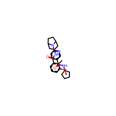 COc1cccc(C(=O)NC2CC3CCC(C2)N3c2ccc(C(=O)NC3CCCC3)cn2)c1C